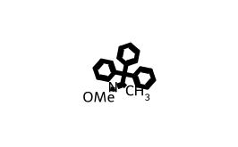 CON=C(C)C(c1ccccc1)(c1ccccc1)c1ccccc1